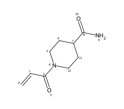 C=CC(=O)N1CCC(C(N)=O)CC1